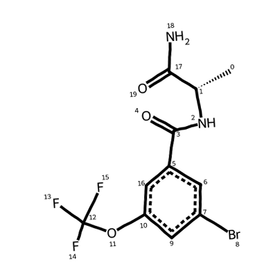 C[C@H](NC(=O)c1cc(Br)cc(OC(F)(F)F)c1)C(N)=O